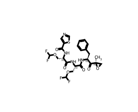 C[C@]1(C(=O)[C@H](Cc2ccccc2)NC(=O)[C@H](COC(F)F)NC(=O)[C@H](COC(F)F)NC(=O)c2cncs2)CO1